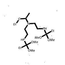 CCOC(C)N(CCPC(CC)(OC)OC)CCPC(CC)(OC)OC